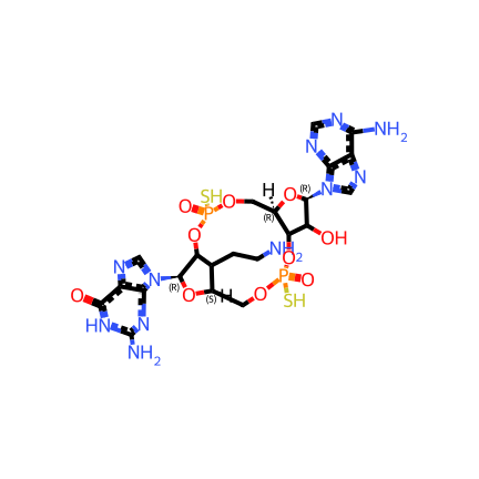 NCCC1C2OP(=O)(S)OC[C@H]3O[C@@H](n4cnc5c(N)ncnc54)C(O)C3OP(=O)(S)OC[C@H]1O[C@H]2n1cnc2c(=O)[nH]c(N)nc21